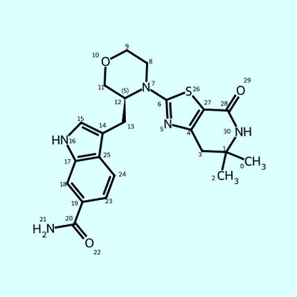 CC1(C)Cc2nc(N3CCOC[C@@H]3Cc3c[nH]c4cc(C(N)=O)ccc34)sc2C(=O)N1